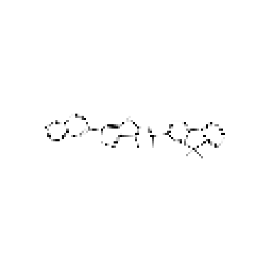 CC1(C)c2ccccc2-c2ccc(-c3ccc4c(c3)sc3cc(-c5ccc6ccccc6c5)ccc34)cc21